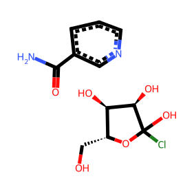 NC(=O)c1cccnc1.OC[C@H]1OC(O)(Cl)[C@H](O)[C@@H]1O